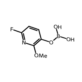 COc1nc(F)ccc1OB(O)O